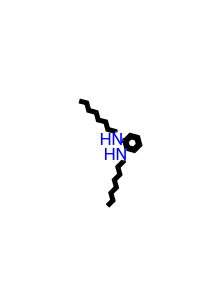 CCCCCCCCNc1ccccc1NCCCCCCCC